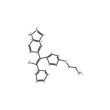 CC/C(=C(/c1ccc(SCCN)cc1)c1ccc2[nH]ncc2c1)c1ccccc1